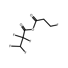 O=C(CCF)OC(=O)C(F)(F)C(F)F